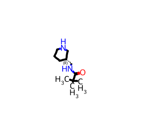 CC(C)(C)C(=O)NC[C@@H]1CCCNC1